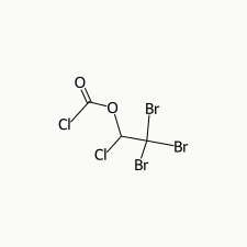 O=C(Cl)OC(Cl)C(Br)(Br)Br